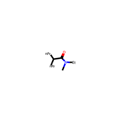 CCCC(CCC)C(=O)N(C)CC